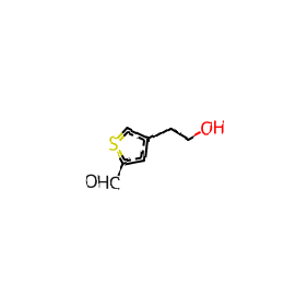 O=Cc1cc(CCO)cs1